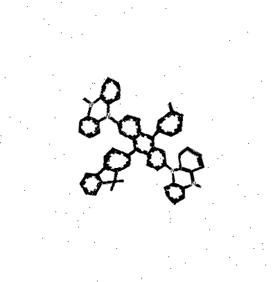 Cc1cccc(-c2c3ccc(N4c5ccccc5N(C)c5ccccc54)cc3c(-c3ccc4c(c3)C(C)(C)c3ccccc3-4)c3ccc(N4C5=C(C=CCC5)N(C)c5ccccc54)cc23)c1